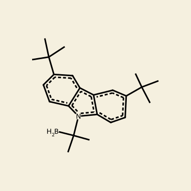 BC(C)(C)n1c2ccc(C(C)(C)C)cc2c2cc(C(C)(C)C)ccc21